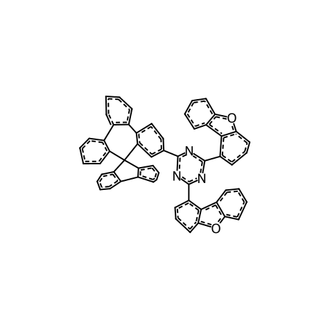 c1ccc2c(c1)-c1ccccc1C1(c3cc(-c4nc(-c5cccc6oc7ccccc7c56)nc(-c5cccc6oc7ccccc7c56)n4)ccc3-2)c2ccccc2-c2ccccc21